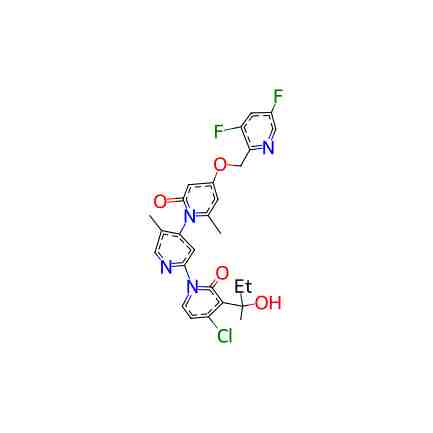 CCC(C)(O)c1c(Cl)ccn(-c2cc(-n3c(C)cc(OCc4ncc(F)cc4F)cc3=O)c(C)cn2)c1=O